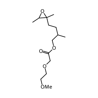 COCCOCC(=O)OCC(C)CCC1(C)OC1C